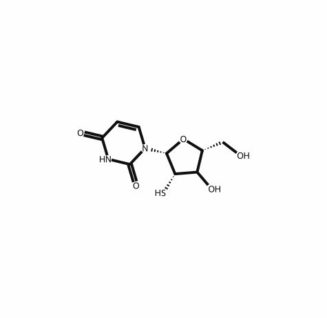 O=c1ccn([C@@H]2O[C@H](CO)C(O)[C@@H]2S)c(=O)[nH]1